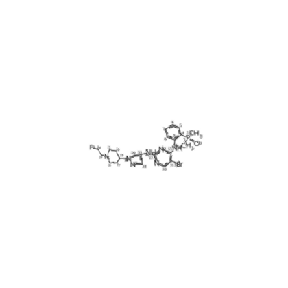 CP(C)(=O)c1ccccc1Nc1nc(Nc2cnn(C3CCN(CCF)CC3)c2)ncc1Br